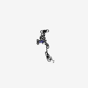 C=CC(=O)OCCCCCCOc1ccc2cc(-c3ccc(-c4ccc(-c5ccc(OCCCN6C(=O)C=CC6=O)cc5F)c(F)c4F)c(/C=N/N=C/c4c5ccccc5cc5ccccc45)c3F)ccc2c1